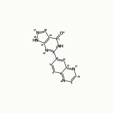 O=c1[nH]c(-c2ccc3nccnc3c2)nc2[nH]ncc12